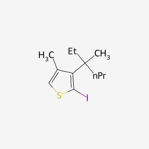 CCCC(C)(CC)c1c(C)csc1I